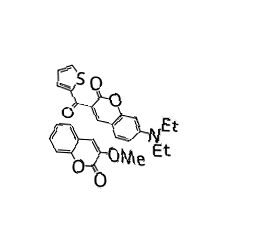 CCN(CC)c1ccc2cc(C(=O)c3cccs3)c(=O)oc2c1.COc1cc2ccccc2oc1=O